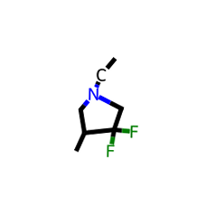 CCN1CC(C)C(F)(F)C1